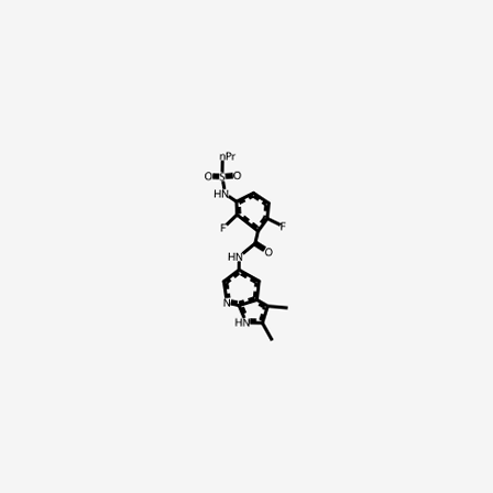 CCCS(=O)(=O)Nc1ccc(F)c(C(=O)Nc2cnc3[nH]c(C)c(C)c3c2)c1F